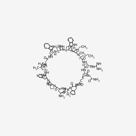 CCCC[C@H]1C(=O)N(C)[C@@H](CCCC)C(=O)N[C@@H](CCCNC(=N)N)C(=O)NC(C(=O)NCC(N)=O)CSCC(=O)N[C@H]2Cc3ccsc3N(C2=O)[C@@H](C)C(=O)N[C@@H](CC(N)=O)C(=O)N2CCC[C@H]2C(=O)N[C@@H](Cc2cnc[nH]2)C(=O)N[C@@H](CC(C)C)C(=O)N(C)CC(=O)N[C@@H](Cc2c[nH]c3ccccc23)C(=O)N[C@@H](CO)C(=O)N[C@@H](Cc2c[nH]c3ccccc23)C(=O)N1C